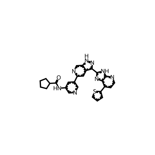 O=C(Nc1cncc(-c2cc3c(-c4nc5c(-c6cccs6)ccnc5[nH]4)n[nH]c3cn2)c1)C1CCCC1